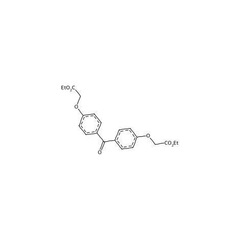 CCOC(=O)COc1ccc(C(=O)c2ccc(OCC(=O)OCC)cc2)cc1